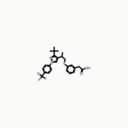 CC(CSc1cccc(CC(=O)O)c1)c1cn(-c2ccc(C(F)(F)F)cc2)nc1C(C)(C)C